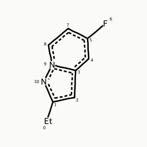 CCc1cc2cc(F)ccn2n1